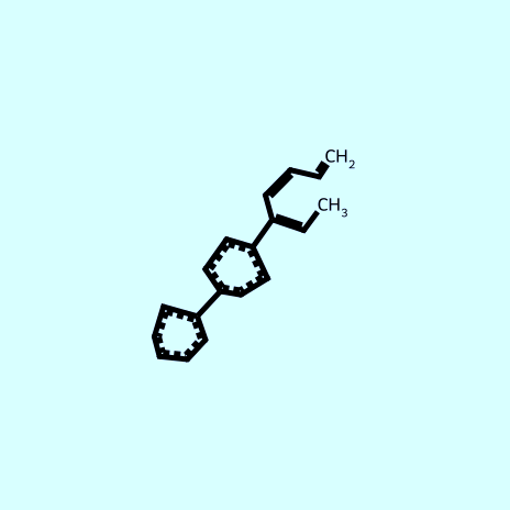 C=C/C=C\C(=C/C)c1ccc(-c2ccccc2)cc1